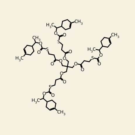 CC1=CCC(C(C)OC(=O)SCCC(=O)OCC(COC(=O)CCSC(=O)OC(C)C2CC=C(C)CC2)(COC(=O)CCSC(=O)OC(C)C2CC=C(C)CC2)COC(=O)CCSC(=O)OC(C)C2CC=C(C)CC2)CC1